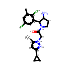 Cc1cc(F)cc(C2C(N)CCN2C(=O)Cn2nc(C3CC3)cc2C(F)(F)F)c1Cl